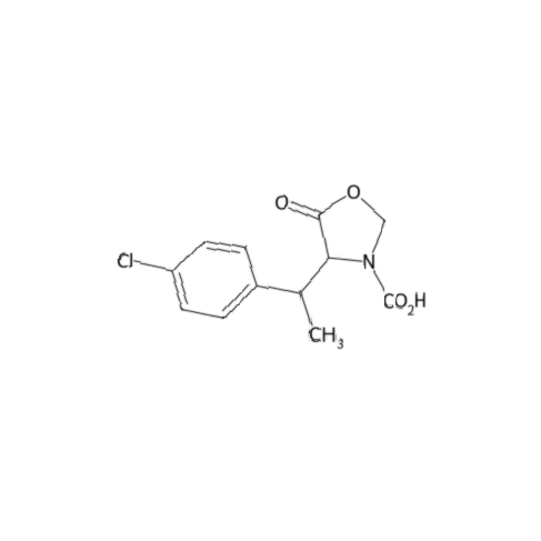 CC(c1ccc(Cl)cc1)C1C(=O)OCN1C(=O)O